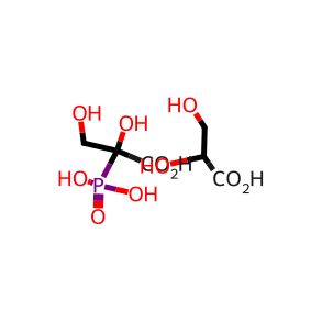 O=C(O)C(O)(CO)P(=O)(O)O.O=C(O)C(O)CO